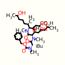 CC[C@H](C)[C@@H](C(=O)N(C)[C@H](C(=O)N(C)[C@H](C(=O)CC(O)C(=O)O)[C@@H](C)CCCC(C)O)[C@@H](C)CCCC(C)O)N(C)C(=O)OCc1ccccc1